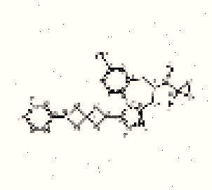 O=C(N1Cc2cc(Cl)ccc2-n2c(nnc2C2CC3(C2)CN(c2cnccn2)C3)C1)C1(F)CC1